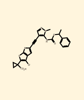 CC(OC(=O)Nc1c(C#Cc2cc3c(Cl)c(C4(C(=O)O)CC4)sc3s2)cnn1C)c1ccccc1